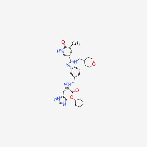 Cc1cc(-c2nc3cc(CN[C@@H](Cc4cnc[nH]4)C(=O)OC4CCCC4)ccc3n2CC2CCOCC2)c[nH]c1=O